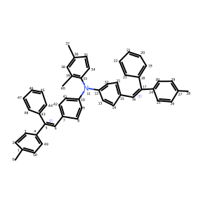 Cc1ccc(/C(=C/c2ccc(N(c3ccc(/C=C(\c4ccccc4)c4ccc(C)cc4)cc3)c3ccc(C)cc3C)cc2)c2ccccc2)cc1